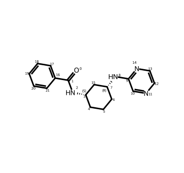 O=C(N[C@H]1CCC[C@@H](Nc2cnccn2)C1)c1ccccc1